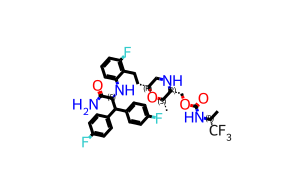 C[C@@H]1O[C@H](CCc2c(F)cccc2N[C@H](C(N)=O)C(c2ccc(F)cc2)c2ccc(F)cc2)CN[C@@H]1COC(=O)N[C@H](C)C(F)(F)F